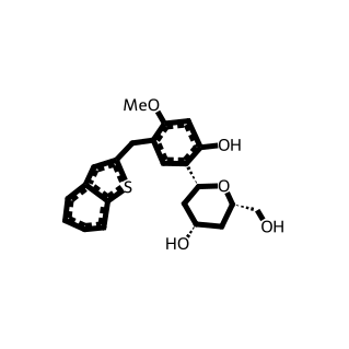 COc1cc(O)c([C@H]2C[C@@H](O)C[C@@H](CO)O2)cc1Cc1cc2ccccc2s1